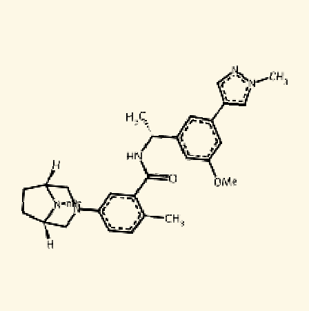 CCCN1[C@@H]2CC[C@H]1CN(c1ccc(C)c(C(=O)N[C@H](C)c3cc(OC)cc(-c4cnn(C)c4)c3)c1)C2